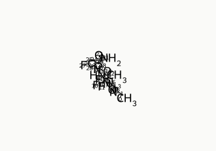 CCc1cc(Cn2nc(C(F)(F)F)c(NC(=O)c3cc(C(N)=O)c4ccc(F)cc4n3)c2C)on1